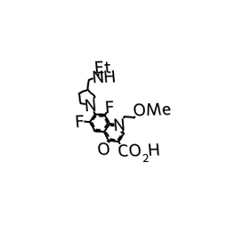 CCNCC1CCN(c2c(F)cc3c(=O)c(C(=O)O)cn(CCOC)c3c2F)C1